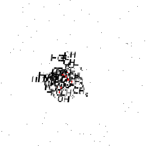 CCc1cc(C(C)(C)C)c(C(CCCCO)(c2c(C(C)(C)C)cc(CC)cc2C(C)(C)C)C(O)(C2CCCCC2)C2CCCCC2)c(C(C)(C)C)c1.OP(O)O.OP(O)O